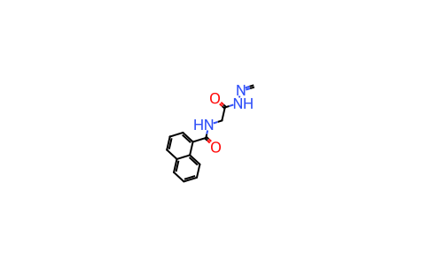 C=NNC(=O)CNC(=O)c1cccc2ccccc12